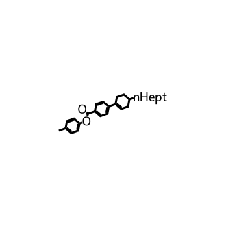 CCCCCCCC1CC=C(c2ccc(C(=O)Oc3ccc(C)cc3)cc2)CC1